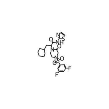 O=C(Nc1nccs1)C(CC1CCCCC1)N1CCN(S(=O)(=O)c2cc(F)cc(F)c2)CC1=O